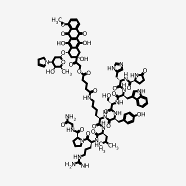 COc1cccc2c1C(=O)c1c(O)c3c(c(O)c1C2=O)C[C@@](O)(C(=O)COC(=O)CCCC(=O)NCCCC[C@@H](NC(=O)[C@H](Cc1ccc(O)cc1)NC(=O)[C@H](CO)NC(=O)[C@H](Cc1c[nH]c2ccccc12)NC(=O)[C@H](Cc1cnc[nH]1)NC(=O)[C@@H]1CCC(=O)N1)C(=O)N[C@@H](CC(C)C)C(=O)N[C@@H](CCCNC(=N)N)C(=O)N1CCC[C@H]1C(=O)NCC(N)=O)C[C@@H]3O[C@H]1C[C@H](N2C=CCC2)[C@H](O)[C@H](C)O1